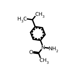 CC(=O)N(N)c1ccc(C(C)C)cc1